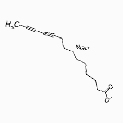 CC#CC#CCCCCCCCCC(=O)[O-].[Na+]